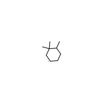 CC1CC[CH]CC1(C)C